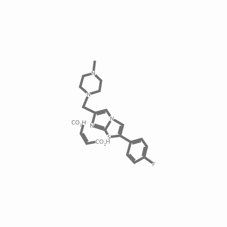 CN1CCN(Cc2cn3cc(-c4ccc(F)cc4)sc3n2)CC1.O=C(O)/C=C\C(=O)O